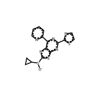 [O-][S+](c1nc2c(-c3ccccn3)nc(-c3nccs3)nc2s1)C1CC1